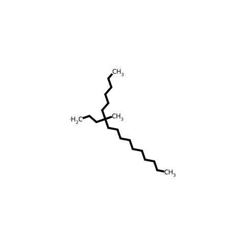 [CH2]CCC(C)(CCCCCC)CCCCCCCCCC